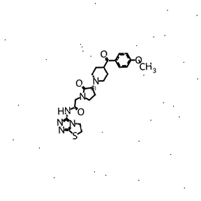 COc1ccc(C(=O)C2CCN([C@@H]3CCN(CC(=O)Nc4nnc5n4CCS5)C3=O)CC2)cc1